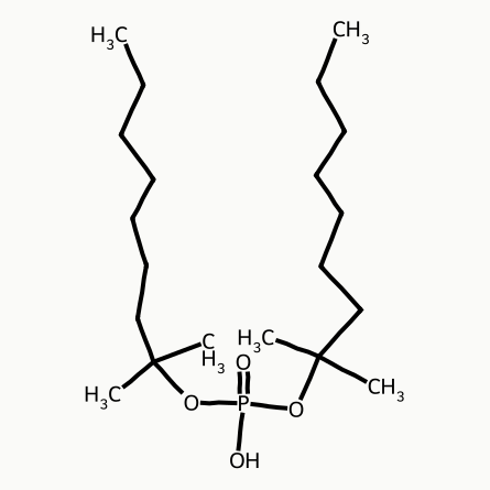 CCCCCCCC(C)(C)OP(=O)(O)OC(C)(C)CCCCCCC